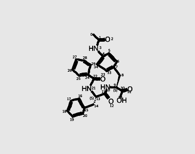 CC(=O)Nc1ccc(C[C@H](NC(=O)[C@H](Cc2ccccc2)NC(=O)c2ccccc2)C(=O)O)cc1